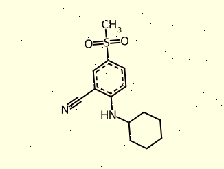 CS(=O)(=O)c1ccc(NC2CCCCC2)c(C#N)c1